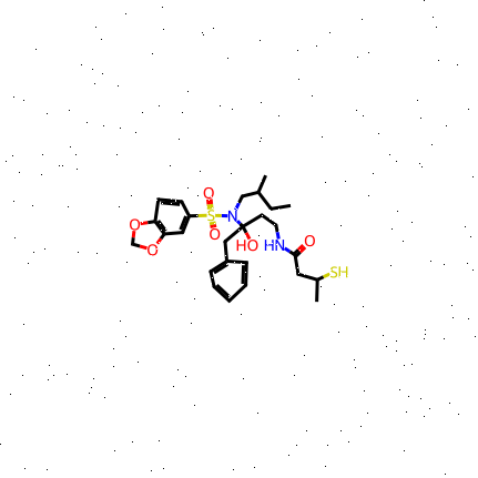 CCC(C)CN(C(O)(CCNC(=O)CC(C)S)Cc1ccccc1)S(=O)(=O)c1ccc2c(c1)OCO2